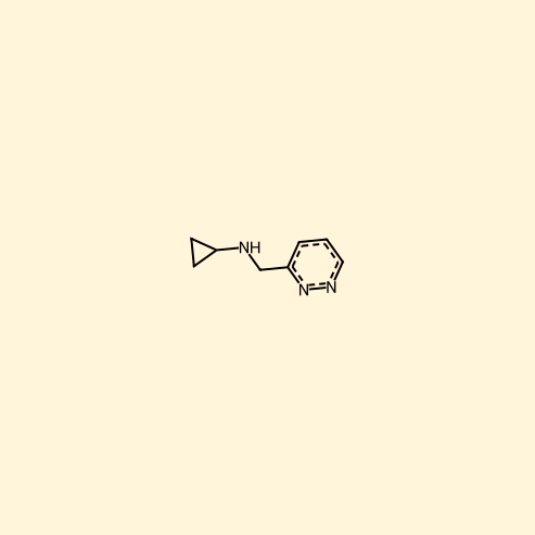 c1cnnc(CNC2CC2)c1